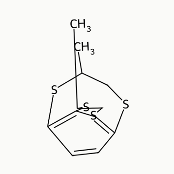 CC1CSc2ccc(c3c2SCC(C)S3)S1